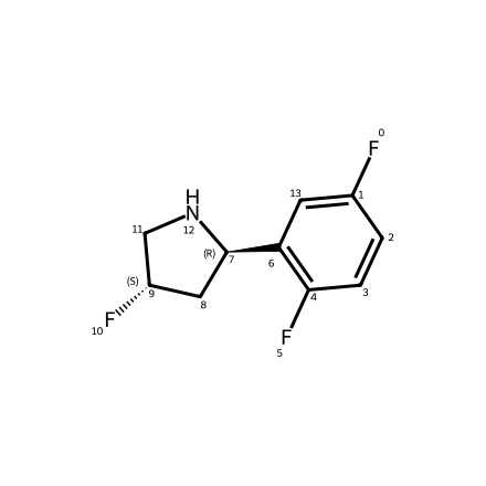 Fc1ccc(F)c([C@H]2C[C@H](F)CN2)c1